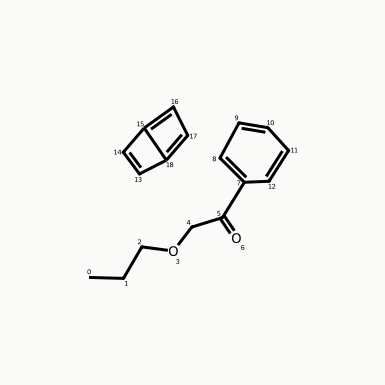 CCCOCC(=O)c1ccccc1.c1cc2ccc1-2